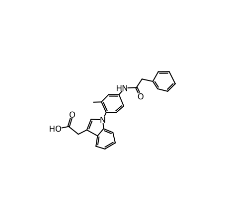 Cc1cc(NC(=O)Cc2ccccc2)ccc1-n1cc(CC(=O)O)c2ccccc21